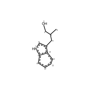 CC(CO)Cc1c[nH]c2ccccc12